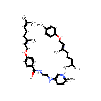 CC(C)=CCC/C(C)=C/COc1ccc(C(=O)O)cc1.COc1ccc(NCCNC(=O)c2ccc(OC/C=C(\C)CCC=C(C)C)cc2)cn1